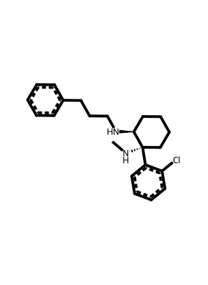 CN[C@@]1(c2ccccc2Cl)CCCC[C@@H]1NCCCc1ccccc1